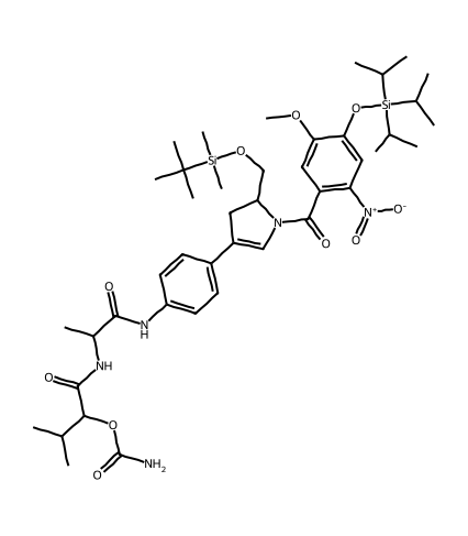 COc1cc(C(=O)N2C=C(c3ccc(NC(=O)C(C)NC(=O)C(OC(N)=O)C(C)C)cc3)CC2CO[Si](C)(C)C(C)(C)C)c([N+](=O)[O-])cc1O[Si](C(C)C)(C(C)C)C(C)C